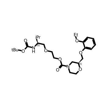 CCOc1ccccc1OC[C@@H]1CN(C(=O)OCCOC[C@@H](NC(=O)OC(C)(C)C)C(C)C)CCO1